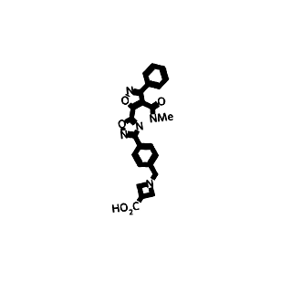 CNC(=O)c1c(-c2ccccc2)noc1-c1nc(-c2ccc(CN3CC(C(=O)O)C3)cc2)no1